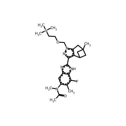 CC(=O)N(C)c1cc2nc(-c3nn(COCC[Si](C)(C)C)c4c3C3CC(C)(C4)C3)[nH]c2c(F)c1C